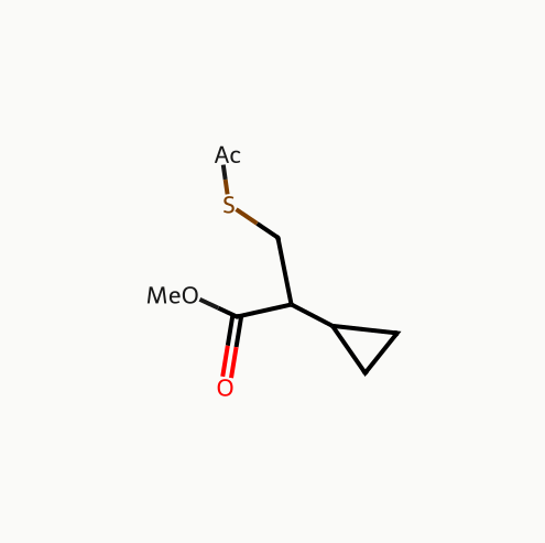 COC(=O)C(CSC(C)=O)C1CC1